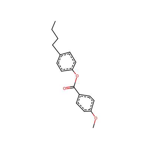 CCCCc1ccc(OC(=O)c2ccc(OC)cc2)cc1